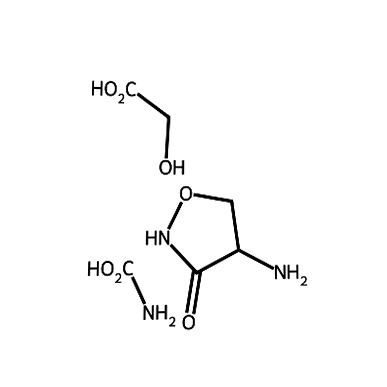 NC(=O)O.NC1CONC1=O.O=C(O)CO